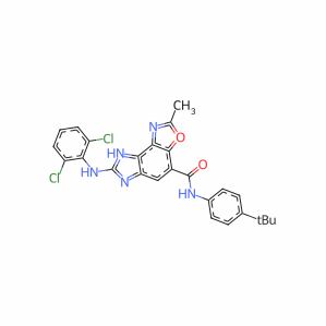 Cc1nc2c(o1)c(C(=O)Nc1ccc(C(C)(C)C)cc1)cc1nc(Nc3c(Cl)cccc3Cl)[nH]c12